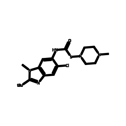 CN1CCN(SC(=O)Nc2cc3c(cc2Cl)nc(C(C)(C)C)n3C)CC1